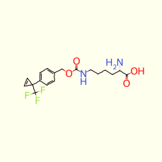 N[C@@H](CCCCNC(=O)OCc1ccc(C2(C(F)(F)F)C=C2)cc1)C(=O)O